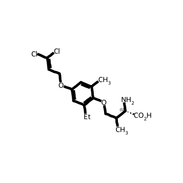 CCc1cc(OCC=C(Cl)Cl)cc(C)c1OCC(C)[C@H](N)C(=O)O